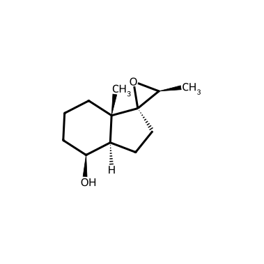 C[C@@H]1O[C@@]12CC[C@H]1[C@@H](O)CCC[C@@]12C